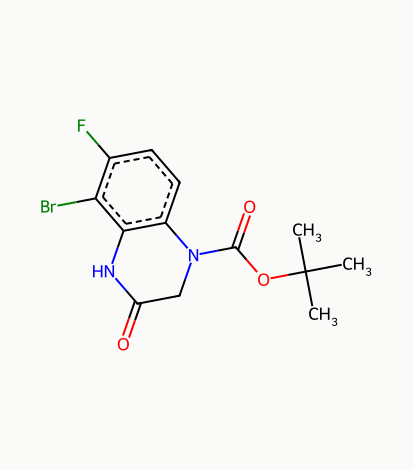 CC(C)(C)OC(=O)N1CC(=O)Nc2c1ccc(F)c2Br